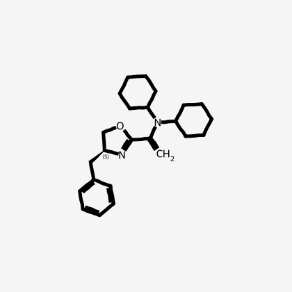 C=C(C1=N[C@@H](Cc2ccccc2)CO1)N(C1CCCCC1)C1CCCCC1